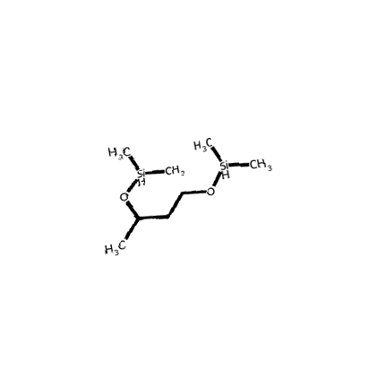 CC(CCO[SiH](C)C)O[SiH](C)C